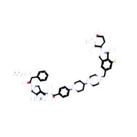 COC(C(=O)N1Cc2[nH]nc(NC(=O)c3ccc(N4CCC(N5CCN(Cc6cc(F)c7c(c6)CN(C6CCC(=O)NC6=O)C7=O)CC5)CC4)cc3)c2C1)c1ccccc1